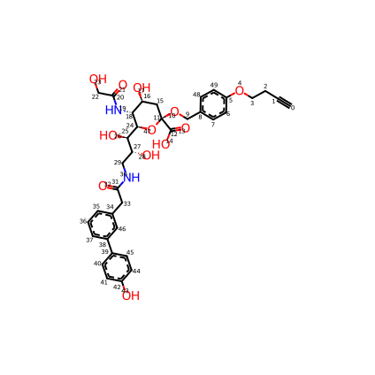 C#CCCOc1ccc(CO[C@]2(C(=O)O)C[C@H](O)[C@@H](NC(=O)CO)[C@H]([C@H](O)[C@H](O)CNC(=O)Cc3cccc(-c4ccc(O)cc4)c3)O2)cc1